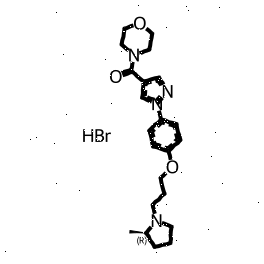 Br.C[C@@H]1CCCN1CCCOc1ccc(-n2cc(C(=O)N3CCOCC3)cn2)cc1